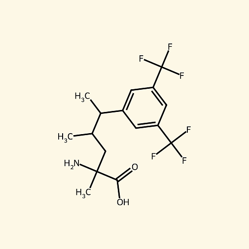 CC(CC(C)(N)C(=O)O)C(C)c1cc(C(F)(F)F)cc(C(F)(F)F)c1